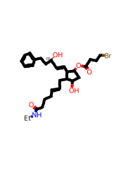 CCNC(=O)CCCC=CCC1C(O)CC(OC(=O)CCCBr)C1C=C[C@@H](O)CCc1ccccc1